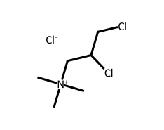 C[N+](C)(C)CC(Cl)CCl.[Cl-]